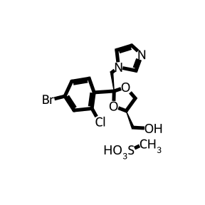 CS(=O)(=O)O.OC[C@@H]1CO[C@@](Cn2ccnc2)(c2ccc(Br)cc2Cl)O1